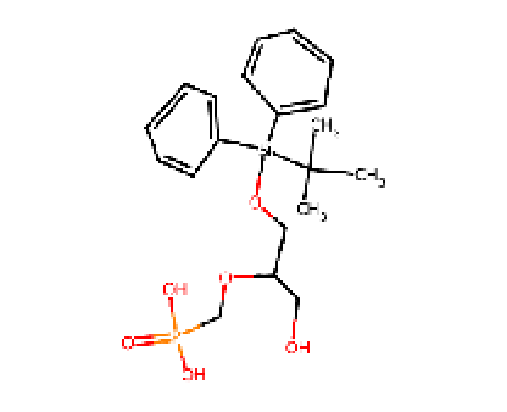 CC(C)(C)[Si](OCC(CO)OCP(=O)(O)O)(c1ccccc1)c1ccccc1